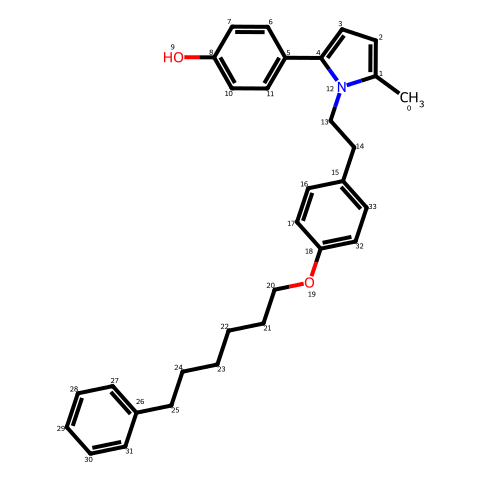 Cc1ccc(-c2ccc(O)cc2)n1CCc1ccc(OCCCCCCc2ccccc2)cc1